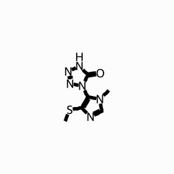 CSc1ncn(C)c1-n1nn[nH]c1=O